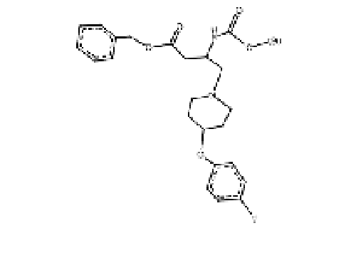 CC(C)(C)OC(=O)NC(CC(=O)OCc1ccccc1)CN1CCC(Oc2ccc(F)cc2)CC1